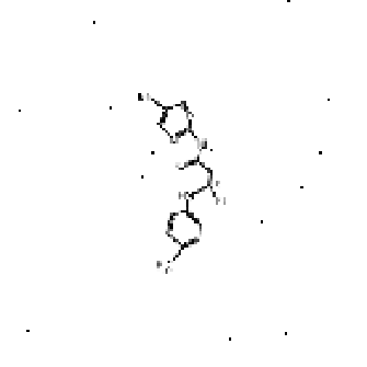 CC[C@H](CC(=O)Nc1ncc(Br)cn1)Nc1ccc(C(F)(F)F)cc1